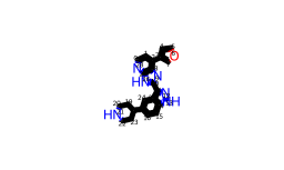 c1cc(-c2ccoc2)c2nc(-c3n[nH]c4ccc(C5CCNCC5)cc34)[nH]c2n1